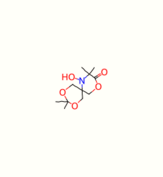 CC1(C)OCC2(COC(=O)C(C)(C)N2O)CO1